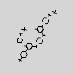 CC(C)(C)OC(=O)N1CCN(c2cc(F)cc(C(=O)N3CCN(C(=O)c4ccc(O[C@H]5CCN(C(=O)OC(C)(C)C)C5)c(C5CCC(C(F)(F)F)CC5)c4)CC3)c2)CC1